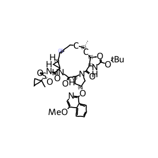 COc1cnc(O[C@@H]2C[C@H]3C(=O)NC4(C(=O)NS(=O)(=O)C5(C)CC5)C[C@H]4/C=C\CC[C@H](C)C[C@@H](C)[C@H](NC(=O)OC(C)(C)C)C(=O)N3C2)c2ccccc12